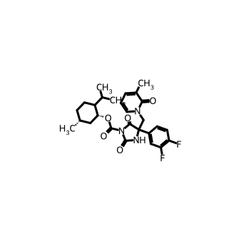 Cc1cccn(CC2(c3ccc(F)c(F)c3)NC(=O)N(C(=O)O[C@@H]3C[C@H](C)CCC3C(C)C)C2=O)c1=O